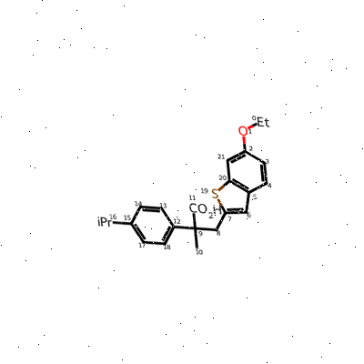 CCOc1ccc2cc(CC(C)(C(=O)O)c3ccc(C(C)C)cc3)sc2c1